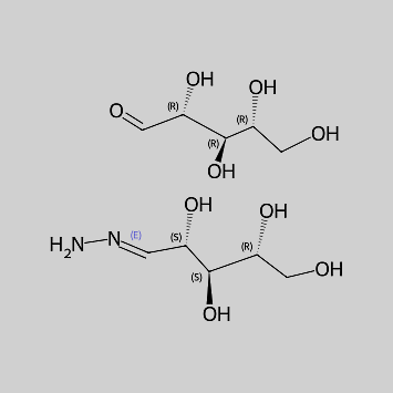 N/N=C/[C@H](O)[C@H](O)[C@H](O)CO.O=C[C@H](O)[C@H](O)[C@H](O)CO